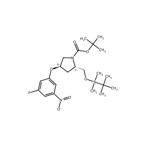 CC(C)(C)OC(=O)N1C[C@H](Oc2cc(F)cc([N+](=O)[O-])c2)C[C@H]1CO[Si](C)(C)C(C)(C)C